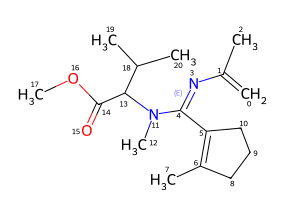 C=C(C)/N=C(\C1=C(C)CCC1)N(C)C(C(=O)OC)C(C)C